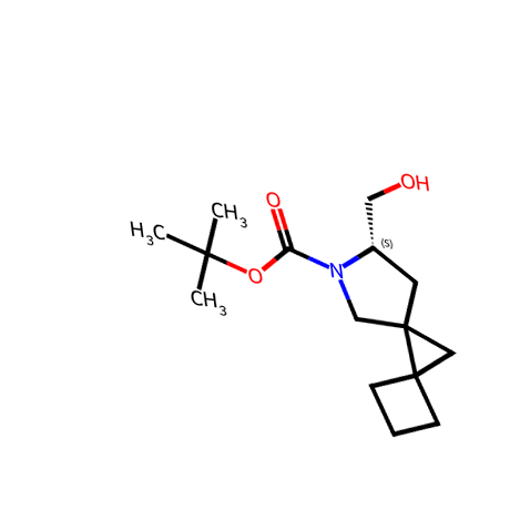 CC(C)(C)OC(=O)N1CC2(C[C@H]1CO)CC21CCC1